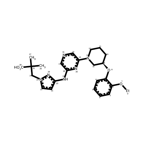 CCOc1ccccc1O[C@@H]1CCCN(c2cncc(Nc3ccn(CC(C)(C)C(=O)O)n3)n2)C1